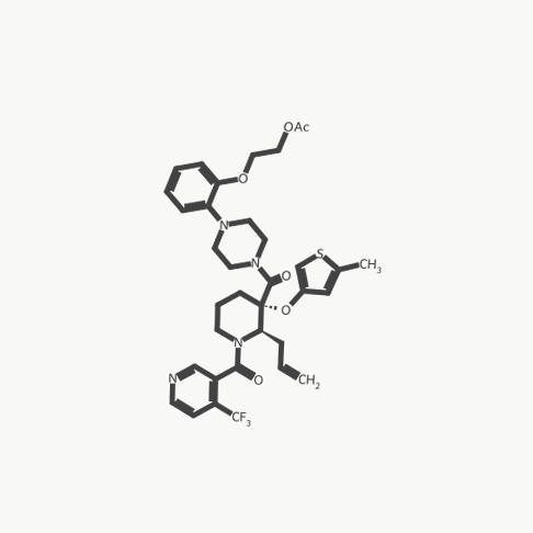 C=CC[C@H]1N(C(=O)c2cnccc2C(F)(F)F)CCC[C@@]1(Oc1csc(C)c1)C(=O)N1CCN(c2ccccc2OCCOC(C)=O)CC1